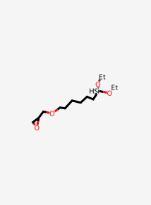 CCO[SiH](CCCCCCOCC1CO1)OCC